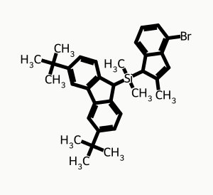 CC1=Cc2c(Br)cccc2C1[Si](C)(C)C1c2ccc(C(C)(C)C)cc2-c2cc(C(C)(C)C)ccc21